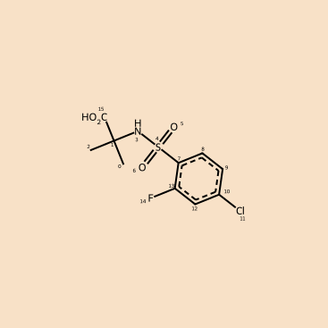 CC(C)(NS(=O)(=O)c1ccc(Cl)cc1F)C(=O)O